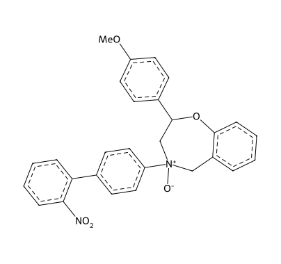 COc1ccc(C2C[N+]([O-])(c3ccc(-c4ccccc4[N+](=O)[O-])cc3)Cc3ccccc3O2)cc1